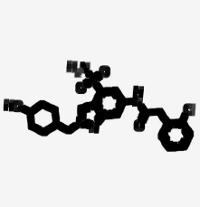 NS(=O)(=O)c1cc(NC(=O)Cc2ccccc2Cl)cc2nn(CC3CCC(O)CC3)cc12